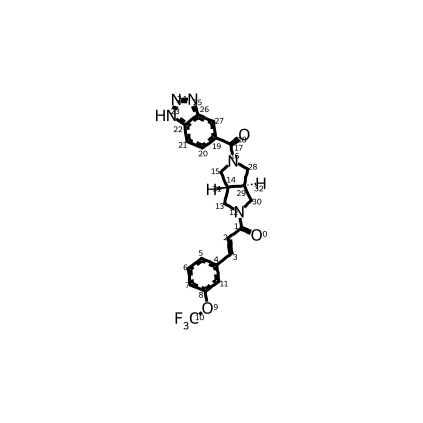 O=C(C=Cc1cccc(OC(F)(F)F)c1)N1C[C@@H]2CN(C(=O)c3ccc4[nH]nnc4c3)C[C@H]2C1